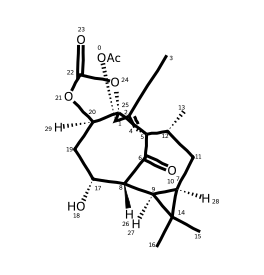 CC(=O)O[C@H]1C(C)=C[C@@]23C(=O)[C@H]([C@H]4[C@@H](C[C@H]2C)C4(C)C)[C@H](O)C[C@H]2OC(=O)O[C@@]213